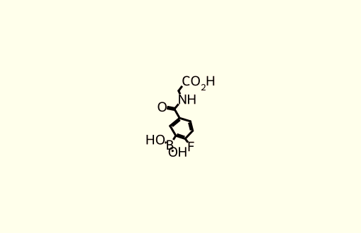 O=C(O)CNC(=O)c1ccc(F)c(B(O)O)c1